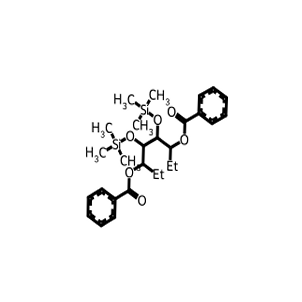 CCC(OC(=O)c1ccccc1)C(O[Si](C)(C)C)C(O[Si](C)(C)C)C(CC)OC(=O)c1ccccc1